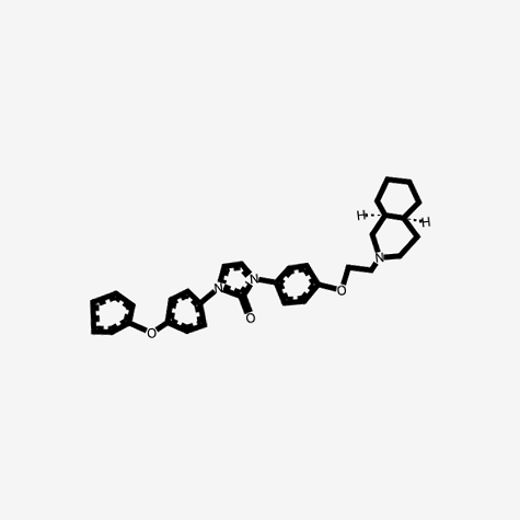 O=c1n(-c2ccc(OCCN3CC[C@@H]4CCCC[C@@H]4C3)cc2)ccn1-c1ccc(Oc2ccccc2)cc1